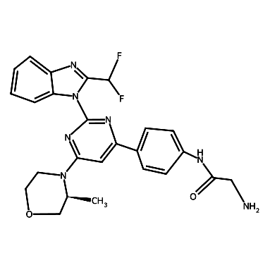 C[C@H]1COCCN1c1cc(-c2ccc(NC(=O)CN)cc2)nc(-n2c(C(F)F)nc3ccccc32)n1